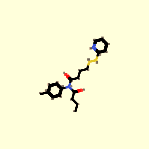 CCCC(=O)N(C(=O)CCCSSc1ccccn1)c1ccc(C)cc1